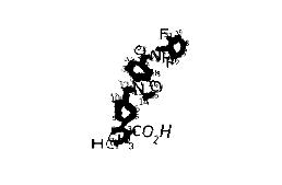 C#C/C=C(C(=O)O)\C(=C/C)c1ccc(CN2CCOc3cc(C(=O)NCC4=C(F)CCC=C4F)ccc32)cc1